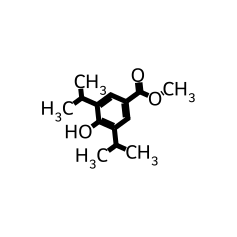 COC(=O)c1cc(C(C)C)c(O)c(C(C)C)c1